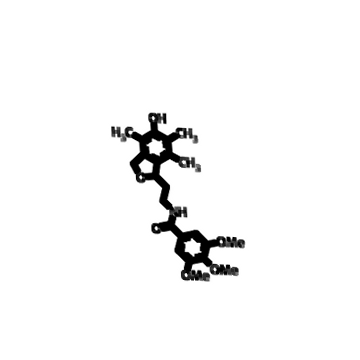 COc1cc(C(=O)NCCC2OCc3c(C)c(O)c(C)c(C)c32)cc(OC)c1OC